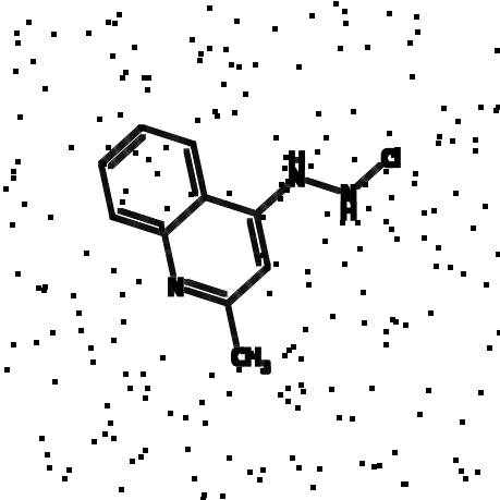 Cc1cc(NNCl)c2ccccc2n1